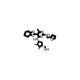 Cc1nc(NCc2ccco2)nc(N[C@@H]2C[C@H](CO)[C@@H](C)[C@H]2C)c1-c1nc2ccccc2s1